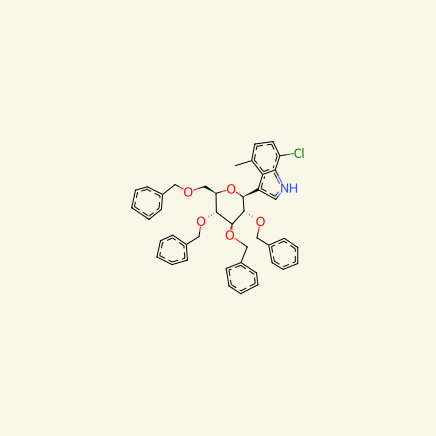 Cc1ccc(Cl)c2[nH]cc([C@@H]3O[C@H](COCc4ccccc4)[C@@H](OCc4ccccc4)[C@H](OCc4ccccc4)[C@H]3OCc3ccccc3)c12